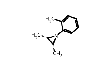 Cc1ccccc1N1[C@H](C)[C@@H]1C